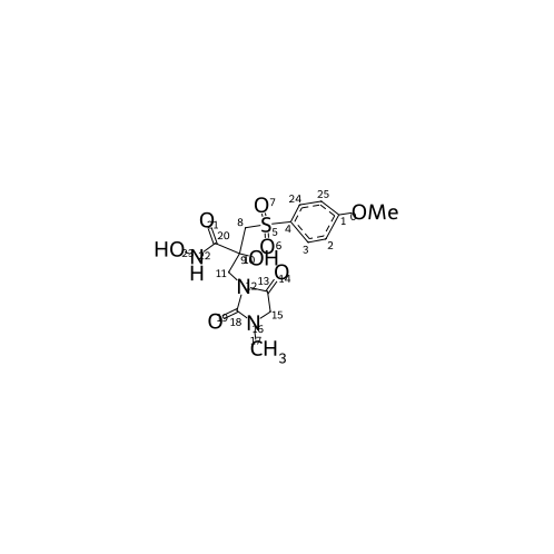 COc1ccc(S(=O)(=O)CC(O)(CN2C(=O)CN(C)C2=O)C(=O)NO)cc1